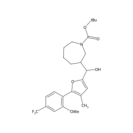 COc1cc(C(F)(F)F)ccc1-c1oc(C(O)C2CCCCN(C(=O)OC(C)(C)C)C2)cc1C